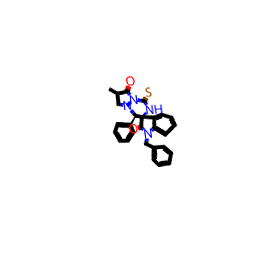 CC1CN2[C@H](c3ccccc3)[C@@]3(NC(=S)N2C1=O)C(=O)N(Cc1ccccc1)c1ccccc13